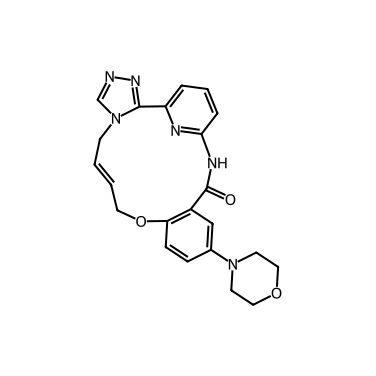 O=C1Nc2cccc(n2)-c2nncn2C/C=C/COc2ccc(N3CCOCC3)cc21